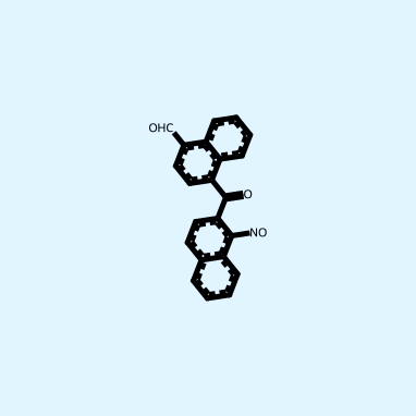 O=Cc1ccc(C(=O)c2ccc3ccccc3c2N=O)c2ccccc12